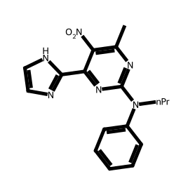 CCCN(c1ccccc1)c1nc(C)c([N+](=O)[O-])c(-c2ncc[nH]2)n1